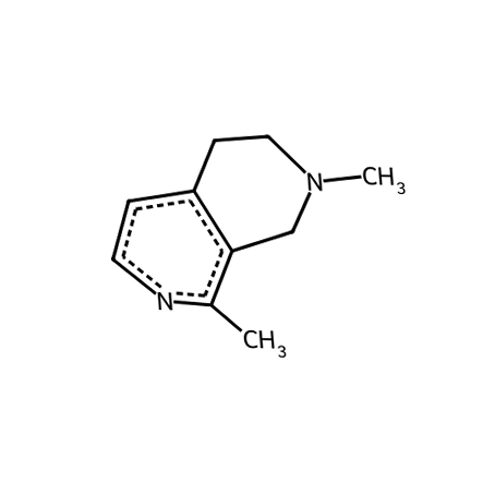 Cc1nccc2c1CN(C)CC2